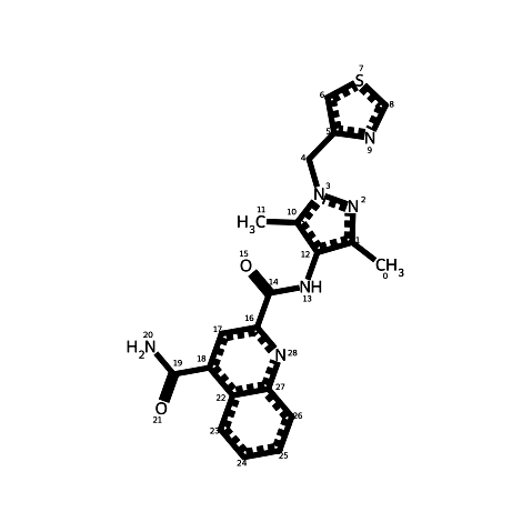 Cc1nn(Cc2cscn2)c(C)c1NC(=O)c1cc(C(N)=O)c2ccccc2n1